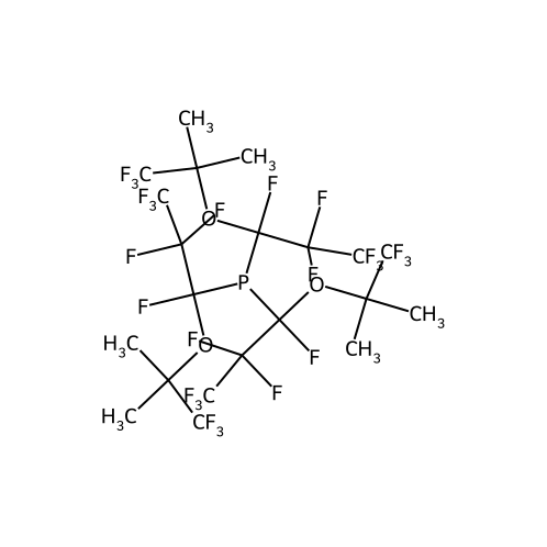 CC(C)(OC(F)(P(C(F)(OC(C)(C)C(F)(F)F)C(F)(F)C(F)(F)F)C(F)(OC(C)(C)C(F)(F)F)C(F)(F)C(F)(F)F)C(F)(F)C(F)(F)F)C(F)(F)F